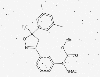 CC(=O)NN(C(=O)OC(C)(C)C)c1cccc(C2=NOC(c3cc(C)cc(C)c3)(C(F)(F)F)C2)c1